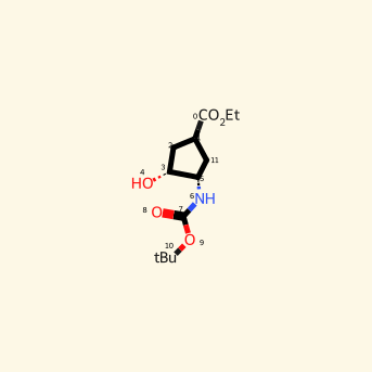 CCOC(=O)C1C[C@@H](O)[C@@H](NC(=O)OC(C)(C)C)C1